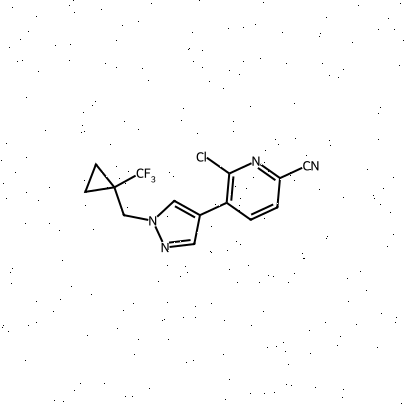 N#Cc1ccc(-c2cnn(CC3(C(F)(F)F)CC3)c2)c(Cl)n1